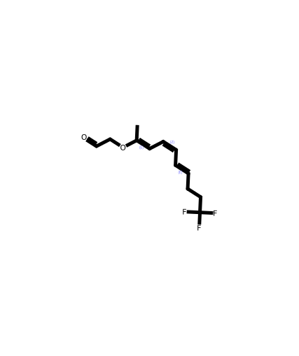 C\C(=C/C=C\C=C\CCC(F)(F)F)OCC=O